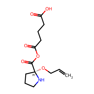 C=CCO[C@@]1(C(=O)OC(=O)CCCC(=O)O)CCCN1